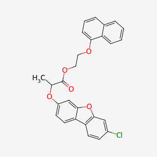 CC(Oc1ccc2c(c1)oc1cc(Cl)ccc12)C(=O)OCCOc1cccc2ccccc12